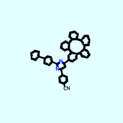 N#Cc1ccc(-c2cc(-c3ccc4c5ccccc5c5ccccc5c5ccccc5c5ccccc5c4c3)nc(-c3ccc(-c4ccccc4)cc3)n2)cc1